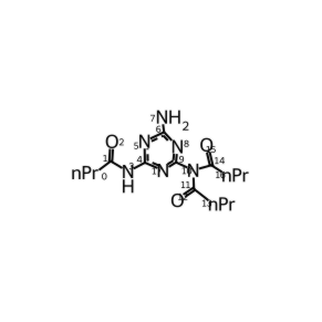 CCCC(=O)Nc1nc(N)nc(N(C(=O)CCC)C(=O)CCC)n1